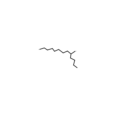 [CH2]CCCCCCCC([CH2])CCCC